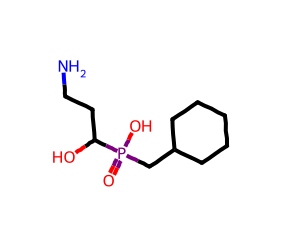 NCCC(O)P(=O)(O)CC1CCCCC1